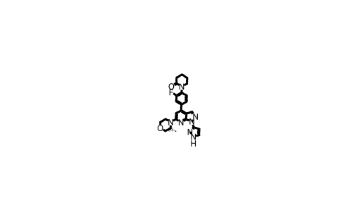 C[C@@H]1COCCN1c1cc(-c2ccc(N3CCCCC3=O)c(F)c2)c2cnn(-c3cc[nH]n3)c2n1